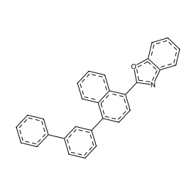 c1ccc(-c2cccc(-c3ccc(-c4nc5ccccc5o4)c4ccccc34)c2)cc1